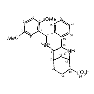 COc1ccc(OC)c(CNC2C3CCC(C(=O)O)C(C3)NC2c2ccccc2)c1